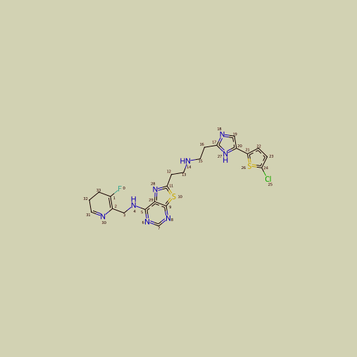 FC1=C(CNc2ncnc3sc(CCNCCc4ncc(-c5ccc(Cl)s5)[nH]4)nc23)N=CCC1